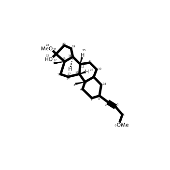 COCC#CC1CC[C@@]2(C)C(CC[C@@H]3[C@H]2CC[C@@]2(C)[C@H]3CCC2(O)OC)C1